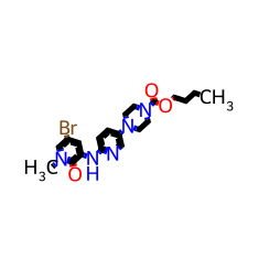 CCCCOC(=O)N1CCN(c2ccc(Nc3cc(Br)cn(C)c3=O)nc2)CC1